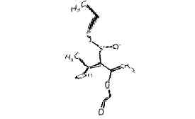 C=C(OC=O)/C(=C(/C)O)[S+]([O-])SCC